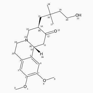 COc1cc2c(cc1OC)[C@H]1CC(=O)[C@H](CC(C)(C)CCO)CN1CC2